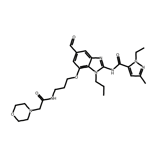 CCCn1c(NC(=O)c2cc(C)nn2CC)nc2cc(C=O)cc(OCCCNC(=O)CN3CCOCC3)c21